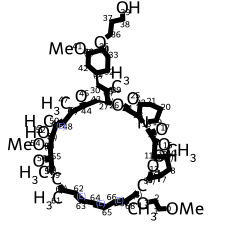 COCCO[C@H]1C[C@@H]2CC[C@@H](C)[C@@](O)(O2)C(=O)C(=O)N2CCCCC2C(=O)O[C@H]([C@H](C)C[C@@H]2CC[C@@H](OCCCO)[C@H](OC)C2)CC(=O)[C@H](C)/C=C(\C)[C@@H](O)[C@@H](OC)C(=O)[C@H](C)C[C@H](C)/C=C/C=C/C=C/1C